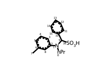 CCCN(c1cccc(C)c1)C(c1ccccc1)S(=O)(=O)O